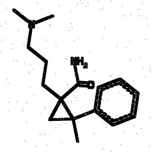 CN(C)CCCC1(C(N)=O)CC1(C)c1ccccc1